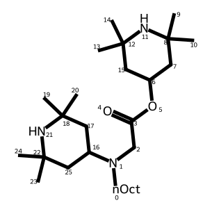 CCCCCCCCN(CC(=O)OC1CC(C)(C)NC(C)(C)C1)C1CC(C)(C)NC(C)(C)C1